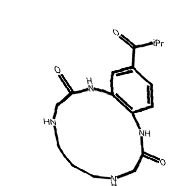 CC(C)C(=O)c1ccc2c(c1)NC(=O)CNCCCNCC(=O)N2